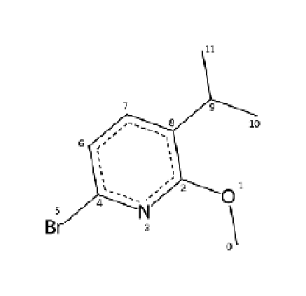 COc1nc(Br)ccc1C(C)C